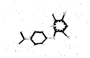 [2H]c1cc(Br)c(O[C@H]2CC[C@@H](C(C)C)CC2)nc1C